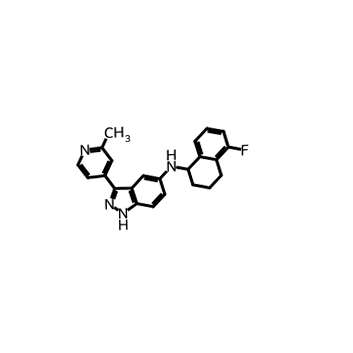 Cc1cc(-c2n[nH]c3ccc(NC4CCCc5c(F)cccc54)cc23)ccn1